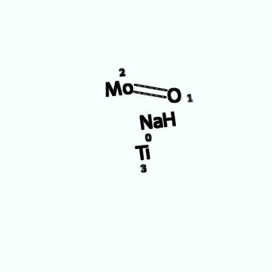 [NaH].[O]=[Mo].[Ti]